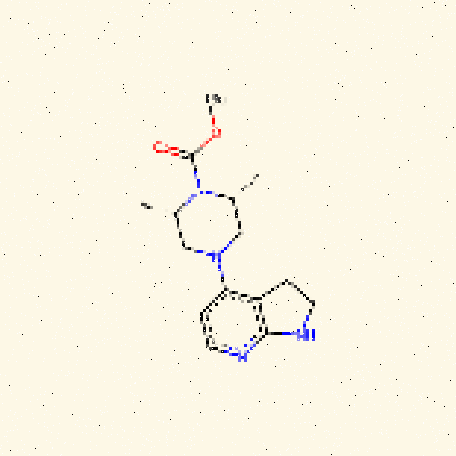 C[C@@H]1CN(c2ccnc3c2CCN3)C[C@H](C)N1C(=O)OC(C)(C)C